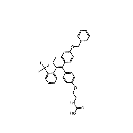 CCC(=C(c1ccc(OCCNC(=O)O)cc1)c1ccc(OCc2ccccc2)cc1)c1ccccc1C(F)(F)F